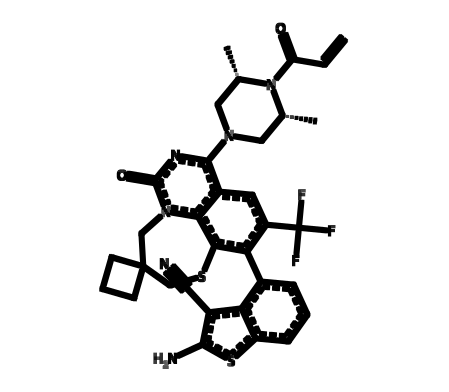 C=CC(=O)N1[C@H](C)CN(c2nc(=O)n3c4c(c(-c5cccc6sc(N)c(C#N)c56)c(C(F)(F)F)cc24)SCC2(CCC2)C3)C[C@@H]1C